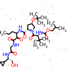 CCCC(NC(=O)[C@@H]1C[C@@H](OC(C)(C)C)CN1C(=O)[C@@H](NC(=O)OCC(C)C)C(C)(C)C)C(=O)C(=O)NCC(=O)N[C@H](CO)C1CC1